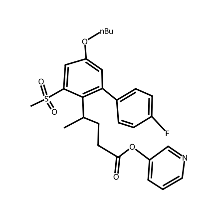 CCCCOc1cc(-c2ccc(F)cc2)c(C(C)CCC(=O)Oc2cccnc2)c(S(C)(=O)=O)c1